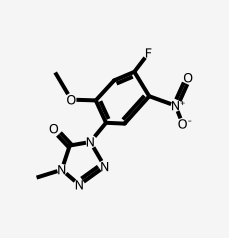 COc1cc(F)c([N+](=O)[O-])cc1-n1nnn(C)c1=O